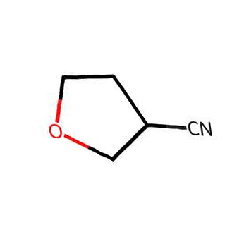 N#CC1CCOC1